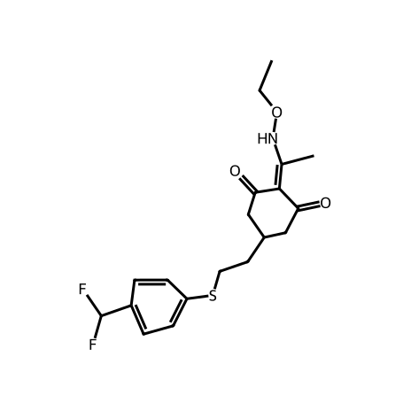 CCONC(C)=C1C(=O)CC(CCSc2ccc(C(F)F)cc2)CC1=O